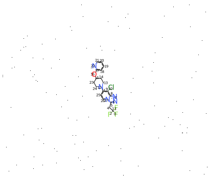 FC(F)(F)Cc1nnc2c(Cl)c(N3CCC(Oc4ccccn4)CC3)ccn12